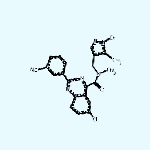 CCn1ncc(CN(C)C(=O)c2nc(-c3cccc(C#N)c3)nc3ccc(Cl)cc23)c1C